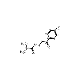 CN(C)C(=S)SCCC(=O)c1ccc(Br)cc1